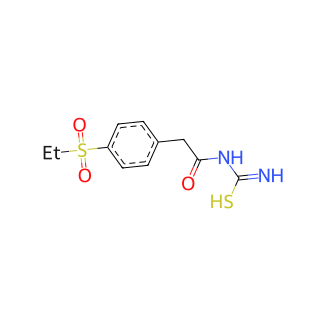 CCS(=O)(=O)c1ccc(CC(=O)NC(=N)S)cc1